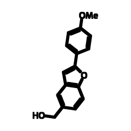 COc1ccc(-c2cc3cc(CO)ccc3o2)cc1